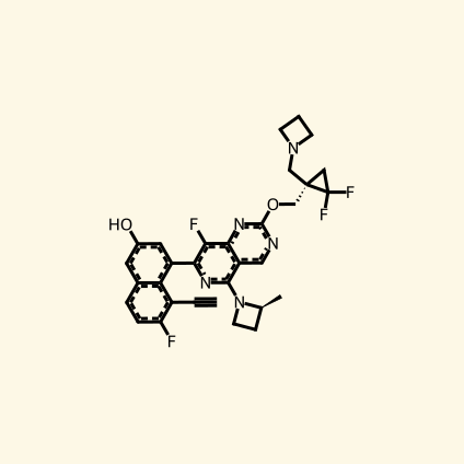 C#Cc1c(F)ccc2cc(O)cc(-c3nc(N4CC[C@@H]4C)c4cnc(OC[C@]5(CN6CCC6)CC5(F)F)nc4c3F)c12